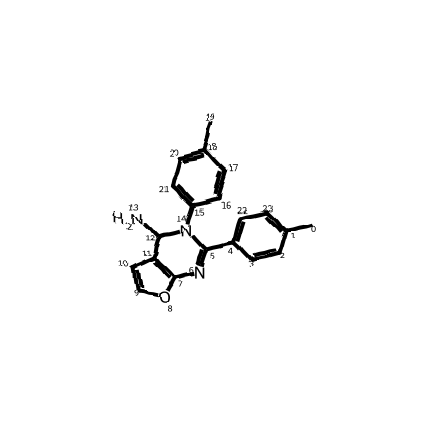 Cc1ccc(C2=Nc3occc3C(N)N2c2ccc(C)cc2)cc1